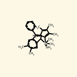 CC1=C(C)C(C)[C]([Zr]([CH3])([CH3])(=[SiH2])[CH]2C=C(c3ccccc3)c3cc(C)c(C)cc32)=C1C